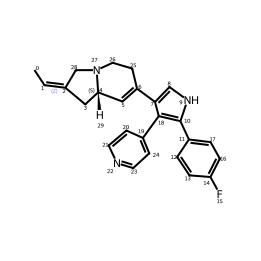 C/C=C1/C[C@H]2C=C(c3c[nH]c(-c4ccc(F)cc4)c3-c3ccncc3)CCN2C1